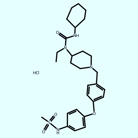 CCN(C(=O)NC1CCCCC1)C1CCN(Cc2ccc(Oc3ccc(NS(C)(=O)=O)cc3)cc2)CC1.Cl